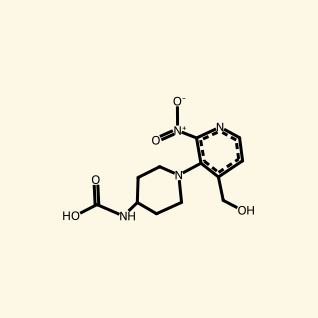 O=C(O)NC1CCN(c2c(CO)ccnc2[N+](=O)[O-])CC1